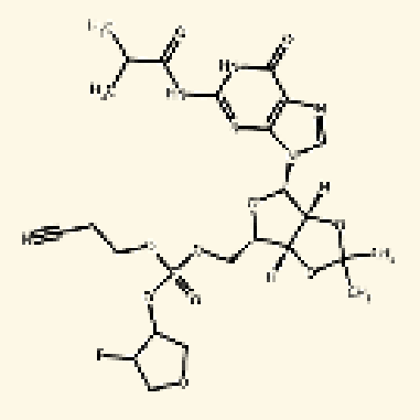 CC(C)C(=O)Nc1nc2c(ncn2[C@@H]2O[C@H](COP(=O)(OCCC#N)OC3COCC3F)[C@H]3OC(C)(C)O[C@H]32)c(=O)[nH]1